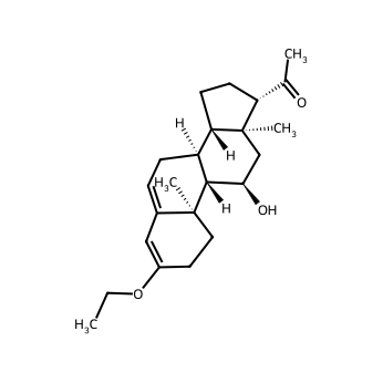 CCOC1=CC2=CC[C@@H]3[C@H]([C@H](O)C[C@]4(C)[C@@H](C(C)=O)CC[C@@H]34)[C@@]2(C)CC1